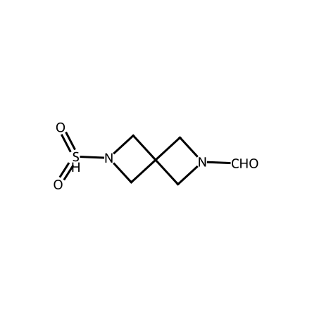 O=CN1CC2(C1)CN([SH](=O)=O)C2